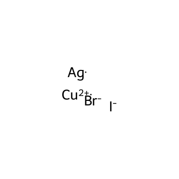 [Ag].[Br-].[Cu+2].[I-]